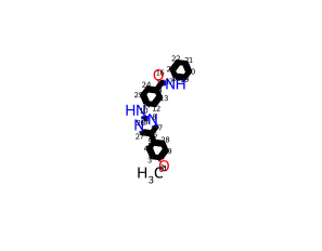 COc1ccc(-c2cnc(Nc3ccc(C(=O)Nc4ccccc4)cc3)nc2)cc1